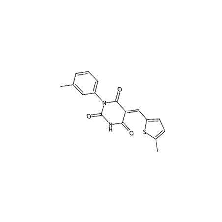 Cc1cccc(N2C(=O)NC(=O)/C(=C\c3ccc(C)s3)C2=O)c1